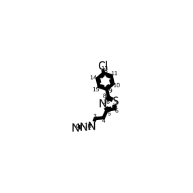 [N-]=[N+]=NCCc1csc(-c2ccc(Cl)cc2)n1